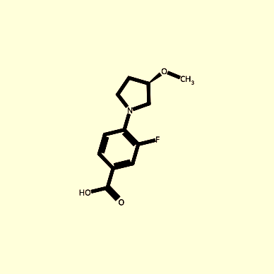 CO[C@@H]1CCN(c2ccc(C(=O)O)cc2F)C1